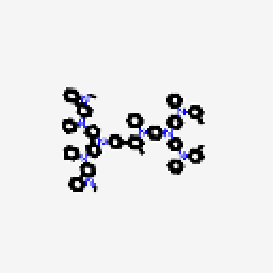 CCn1c2ccccc2c2cc(N(c3ccccc3)c3ccc4c(c3)c3cc(N(c5ccccc5)c5ccc6c(c5)c5ccccc5n6CC)ccc3n4-c3ccc(-c4cc(C)cc(N(c5ccccc5)c5ccc(N(c6ccc(N(c7ccccc7)c7cccc(C)c7)cc6)c6ccc(N(c7ccccc7)c7cccc(C)c7)cc6)cc5)c4)cc3)ccc21